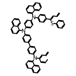 C=C/C=C(\Sc1ccccc1)c1ccc(N(c2ccc(N(c3ccc(-c4ccc(N(C(/C=C\C)=C/C=C)c5cccc6ccccc56)cc4)cc3)c3cccc4ccccc34)cc2)c2cccc3ccccc23)cc1